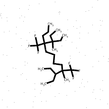 CCCC(CCCCC(C)(C(CC)CC)C(F)(F)F)(C(F)(F)F)C(C)(CC)CC